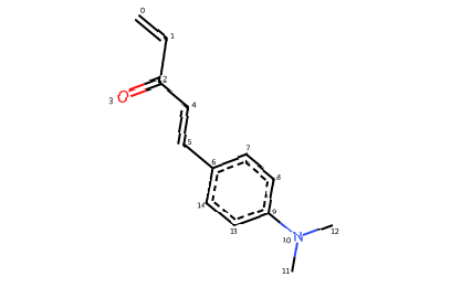 C=CC(=O)C=Cc1ccc(N(C)C)cc1